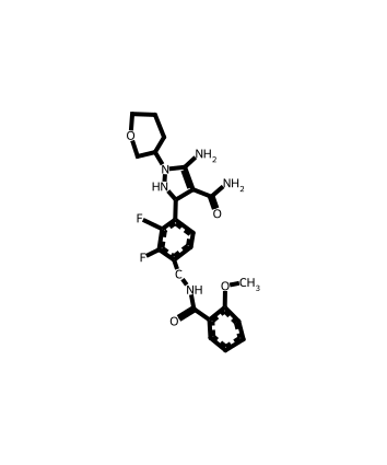 COc1ccccc1C(=O)NCc1ccc(C2NN(C3CCCOC3)C(N)=C2C(N)=O)c(F)c1F